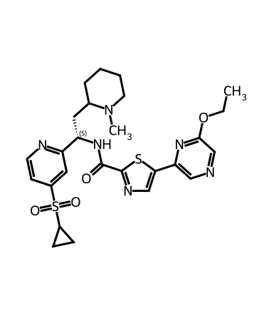 CCOc1cncc(-c2cnc(C(=O)N[C@@H](CC3CCCCN3C)c3cc(S(=O)(=O)C4CC4)ccn3)s2)n1